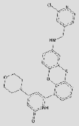 O=c1cc(N2CCOCC2)cc(-c2cccc3c2Oc2ccc(NCc4ccnc(Cl)c4)cc2S3)[nH]1